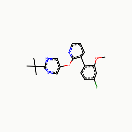 COc1cc(F)ccc1-c1cccnc1Oc1cnc(C(C)(C)C)nc1